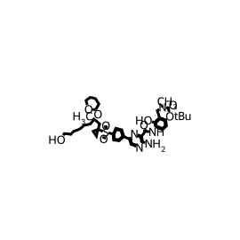 CN(Cc1cccc(NC(=O)c2nc(-c3ccc(S(=O)(=O)C4(CC(C)(CCCCCCO)OC5CCCCO5)CC4)cc3)cnc2N)c1O)C(=O)OC(C)(C)C